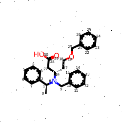 C[C@@H](c1ccccc1)N(Cc1ccccc1)[C@@H](CCOCc1ccccc1)CC(=O)O